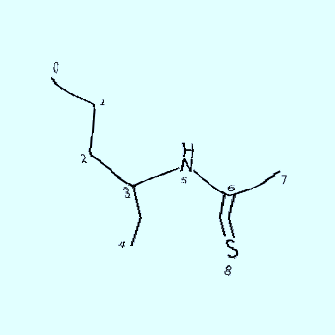 CCCC(C)NC(C)=S